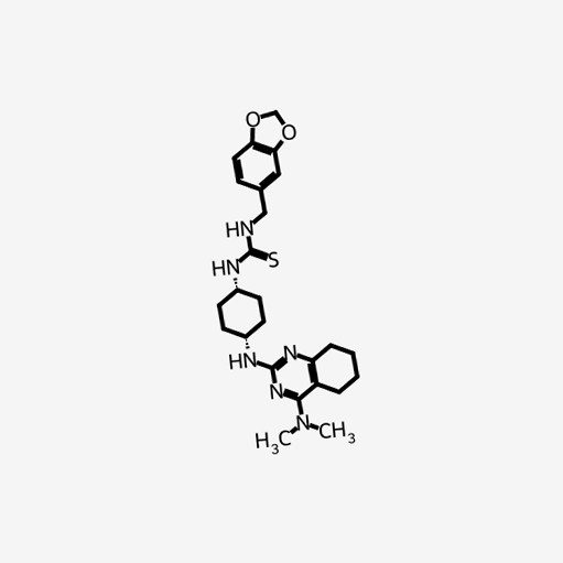 CN(C)c1nc(N[C@H]2CC[C@@H](NC(=S)NCc3ccc4c(c3)OCO4)CC2)nc2c1CCCC2